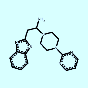 NC(Cc1nc2ccccc2s1)N1CCN(c2ncccn2)CC1